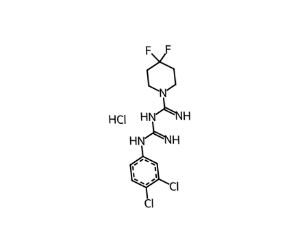 Cl.N=C(NC(=N)N1CCC(F)(F)CC1)Nc1ccc(Cl)c(Cl)c1